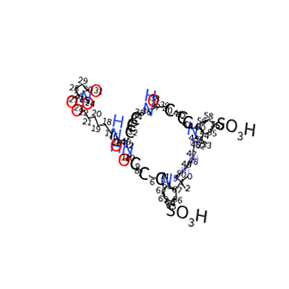 CC1(C)C2=[N+](CCCCCC(=O)NC(C(=O)NCCCCCC(=O)ON3C(=O)CCC3=O)CCCCNC(=O)CCCCCN3/C(=C/C=C/C=C/2)C(C)(C)c2cc(S(=O)(=O)O)ccc23)c2ccc(S(=O)(=O)O)cc21